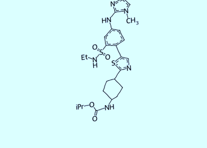 CCNS(=O)(=O)c1cc(Nc2nccn2C)ccc1-c1cnc(C2CCC(NC(=O)OC(C)C)CC2)s1